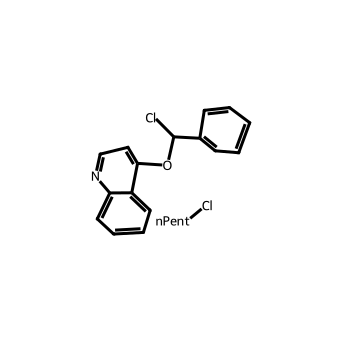 CCCCCCl.ClC(Oc1ccnc2ccccc12)c1ccccc1